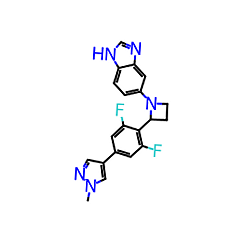 Cn1cc(-c2cc(F)c(C3CCN3c3ccc4[nH]cnc4c3)c(F)c2)cn1